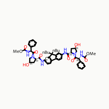 CCCCC1(CCCC)c2cc(NC(=O)[C@@H]3C[C@@H](O)CN3C(=O)C(NC(=O)OC)c3ccccc3)ccc2-c2ccc(NC(=O)[C@@H]3C[C@@H](O)CN3C(=O)[C@H](NC(=O)OC)c3ccccc3)cc21